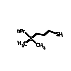 CCCS(C)(C)CCCS